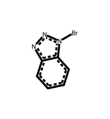 Brn1nnc2ccccc21